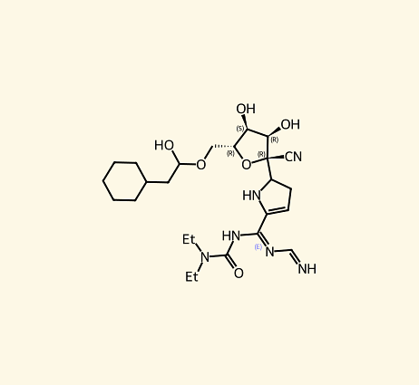 CCN(CC)C(=O)N/C(=N/C=N)C1=CCC([C@]2(C#N)O[C@H](COC(O)CC3CCCCC3)[C@@H](O)[C@H]2O)N1